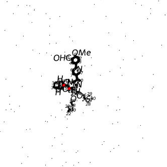 COc1ccc(-c2ccc(-c3cnn4c(N(COCC[Si](C)(C)C)COCC[Si](C)(C)C)cc([C@H]5C[C@H]6CC[C@@H](C5)N6C(=O)OC(C)(C)C)nc34)cn2)cc1C=O